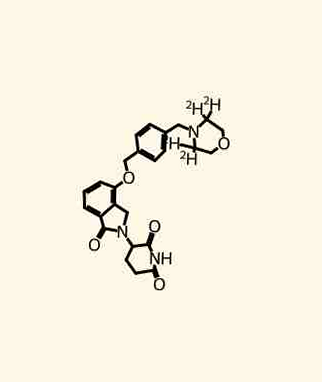 [2H]C1([2H])COCC([2H])([2H])N1Cc1ccc(COc2cccc3c2CN(C2CCC(=O)NC2=O)C3=O)cc1